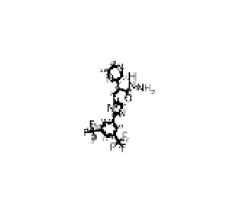 NNC(=O)C(=Cn1cnc(-c2cc(C(F)(F)F)cc(C(F)(F)F)c2)n1)c1cnccn1